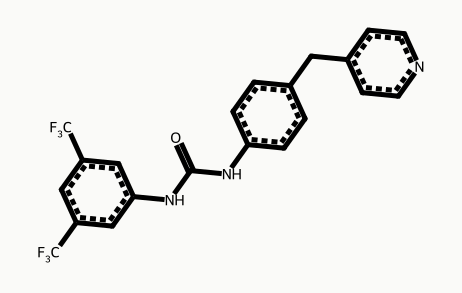 O=C(Nc1ccc(Cc2ccncc2)cc1)Nc1cc(C(F)(F)F)cc(C(F)(F)F)c1